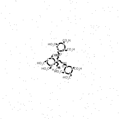 C[N+](=O)CCC(N(CCNC(=O)CN1CCN(CC(=O)O)CCN(CC(=O)O)CCN(CC(=O)O)CC1)CCNC(=O)CN1CCN(CC(=O)O)CCN(CC(=O)O)CCN(CC(=O)O)CC1)N1CCN(CC(=O)O)CCN(CC(=O)O)CCN(CC(=O)O)CC1